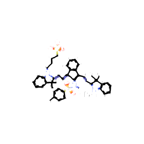 CCCCC[N+]1=C(/C=C/C2=C(N(C)S(=O)(=O)c3ccc(C)cc3)C(=C/C=C3/N(CCCCS(=O)(=O)[O-])c4ccccc4C3(C)C)/c3ccccc32)C(C)(C)c2ccccc21